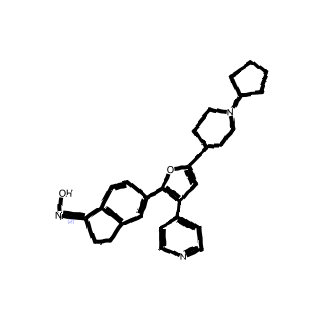 O/N=C1/CCc2cc(-c3oc(C4CCN(C5CCCC5)CC4)cc3-c3ccncc3)ccc21